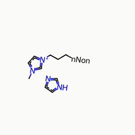 CCCCCCCCCCCC[n+]1ccn(C)c1.c1c[nH]cn1